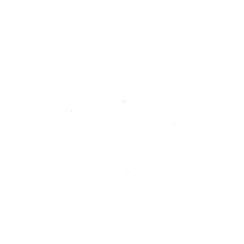 Nc1ccc(S(=O)(=O)Nc2ccc3c(c2)B(O)OC3)c(Cc2ncco2)c1